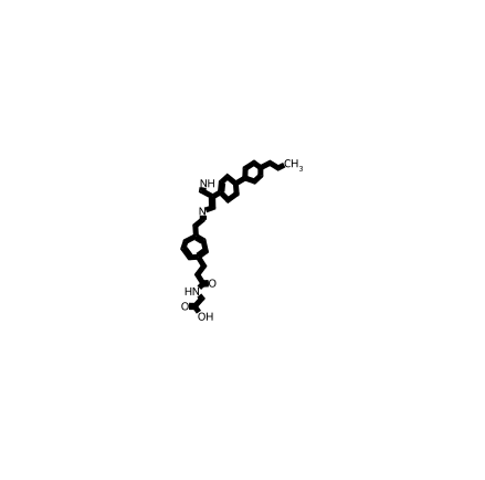 CCCC1CCC(C2CC=C(/C(C=N)=C/N=C/CC3=CC=C(CCC(=O)NCC(=O)O)C=CC3)CC2)CC1